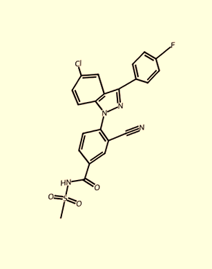 CS(=O)(=O)NC(=O)c1ccc(-n2nc(-c3ccc(F)cc3)c3cc(Cl)ccc32)c(C#N)c1